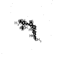 COCC(O)CN1CCC(Nc2cccc3c(CC(F)(F)F)c(C#CCNc4ccc(P(C)(C)=O)cc4OCC(F)(F)F)sc23)C(F)C1